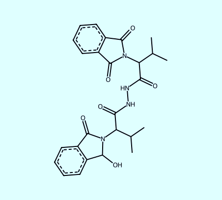 CC(C)C(C(=O)NNC(=O)C(C(C)C)N1C(=O)c2ccccc2C1O)N1C(=O)c2ccccc2C1=O